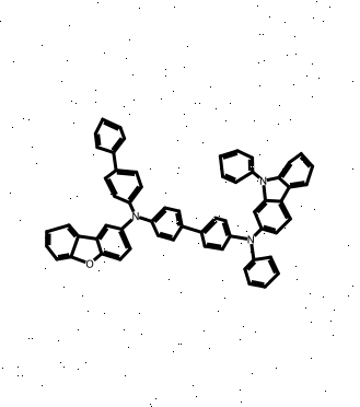 c1ccc(-c2ccc(N(c3ccc(-c4ccc(N(c5ccccc5)c5ccc6c7ccccc7n(-c7ccccc7)c6c5)cc4)cc3)c3ccc4oc5ccccc5c4c3)cc2)cc1